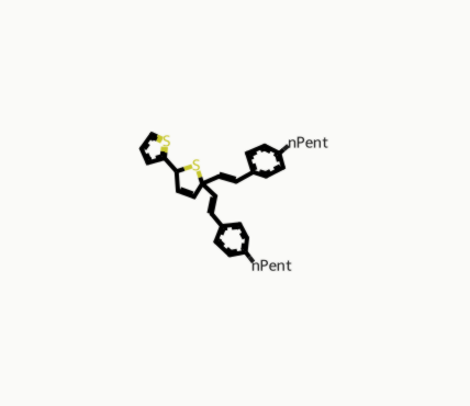 CCCCCc1ccc(/C=C/C2(/C=C/c3ccc(CCCCC)cc3)C=CC(c3cccs3)S2)cc1